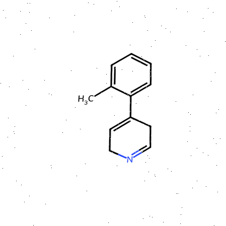 Cc1ccccc1C1=CCN=CC1